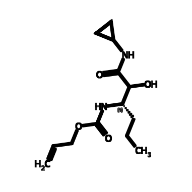 C=CCOC(=O)N[C@@H](CCC)C(O)C(=O)NC1CC1